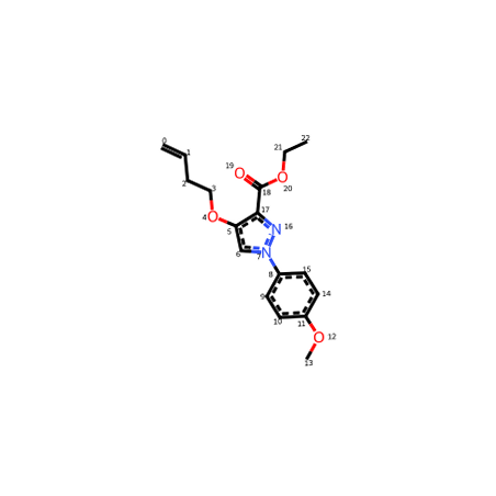 C=CCCOc1cn(-c2ccc(OC)cc2)nc1C(=O)OCC